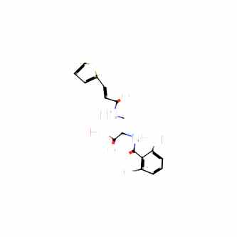 O=C(C=Cc1cccs1)NC[C@H](NC(=O)c1c(Cl)cccc1Cl)C(=O)O